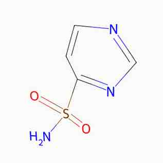 NS(=O)(=O)c1ccncn1